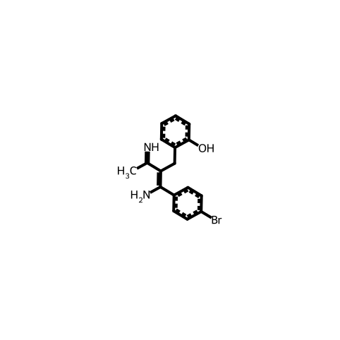 CC(=N)/C(Cc1ccccc1O)=C(\N)c1ccc(Br)cc1